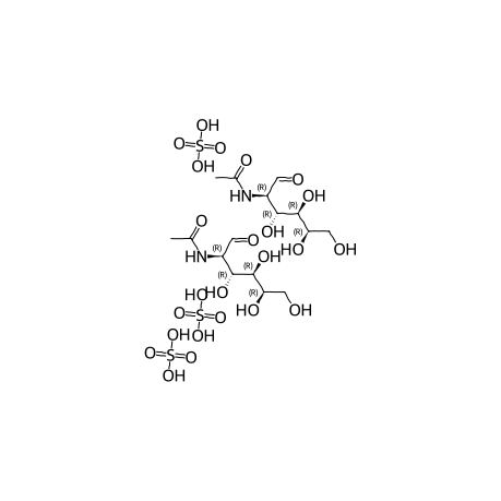 CC(=O)N[C@@H](C=O)[C@@H](O)[C@@H](O)[C@H](O)CO.CC(=O)N[C@@H](C=O)[C@@H](O)[C@@H](O)[C@H](O)CO.O=S(=O)(O)O.O=S(=O)(O)O.O=S(=O)(O)O